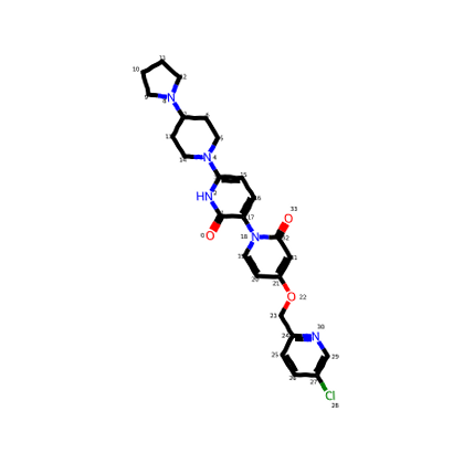 O=c1[nH]c(N2CCC(N3CCCC3)CC2)ccc1-n1ccc(OCc2ccc(Cl)cn2)cc1=O